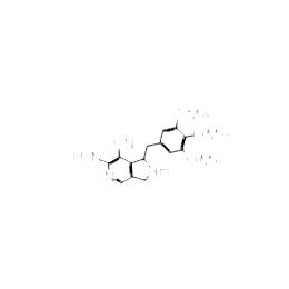 COc1cc(CC2NCc3cnc(N)c(C#N)c32)cc(OC)c1OC